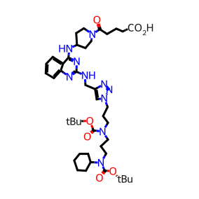 CC(C)(C)OC(=O)N(CCCN(C(=O)OC(C)(C)C)C1CCCCC1)CCCn1cc(CNc2nc(NC3CCN(C(=O)CCCC(=O)O)CC3)c3ccccc3n2)nn1